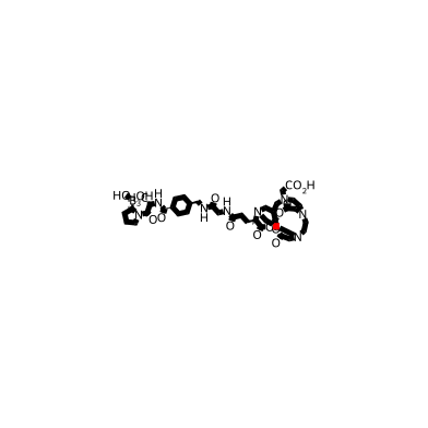 C[C@@H](NC(=O)[C@H]1CC[C@H](CNC(=O)CNC(=O)CC[C@@H]2C(=O)OC34OC(=O)CN5CCN(CCN2CC3CN(CC(=O)O)CC5)CC(=O)O4)CC1)C(=O)N1CCC[C@H]1B(O)O